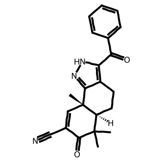 CC1(C)C(=O)C(C#N)=C[C@]2(C)c3n[nH]c(C(=O)c4ccccc4)c3CC[C@@H]12